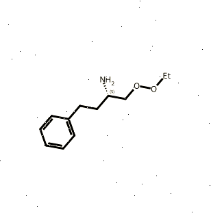 CCOOC[C@@H](N)CCc1ccccc1